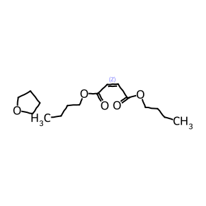 C1CCOC1.CCCCOC(=O)/C=C\C(=O)OCCCC